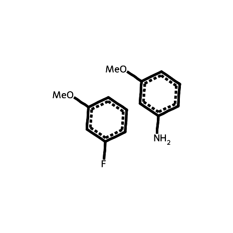 COc1cccc(F)c1.COc1cccc(N)c1